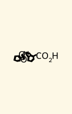 O=C(O)Cc1cccc2c1ccn2S(=O)(=O)c1ccccc1